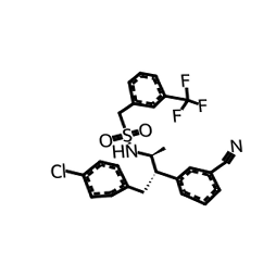 C[C@H](NS(=O)(=O)Cc1cccc(C(F)(F)F)c1)[C@@H](Cc1ccc(Cl)cc1)c1cccc(C#N)c1